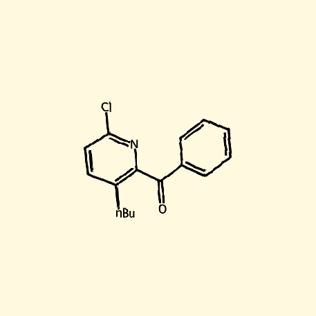 CCCCc1ccc(Cl)nc1C(=O)c1ccccc1